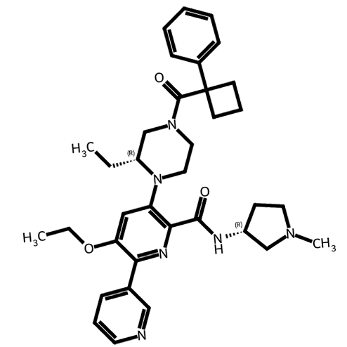 CCOc1cc(N2CCN(C(=O)C3(c4ccccc4)CCC3)C[C@H]2CC)c(C(=O)N[C@@H]2CCN(C)C2)nc1-c1cccnc1